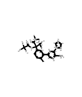 Cc1ccc(C(OC(=O)C(F)(F)F)(C(=O)N(C)C)C(F)(F)F)cc1-c1cnc(N)c(-n2cncn2)n1